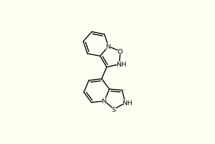 [C]1=C2C(C3=C4C=CC=CN4ON3)=CC=CN2SN1